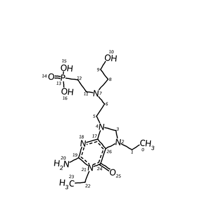 CCN1CN(CCN(CCO)CCP(=O)(O)O)c2nc(N)n(CC)c(=O)c21